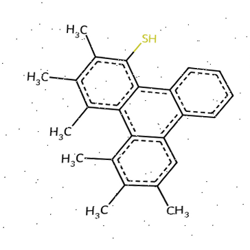 Cc1cc2c3ccccc3c3c(S)c(C)c(C)c(C)c3c2c(C)c1C